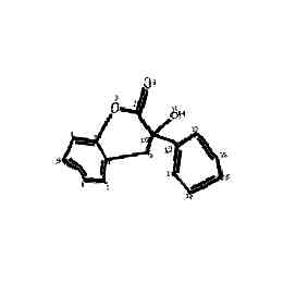 O=C1Oc2ccccc2CC1(O)c1ccccc1